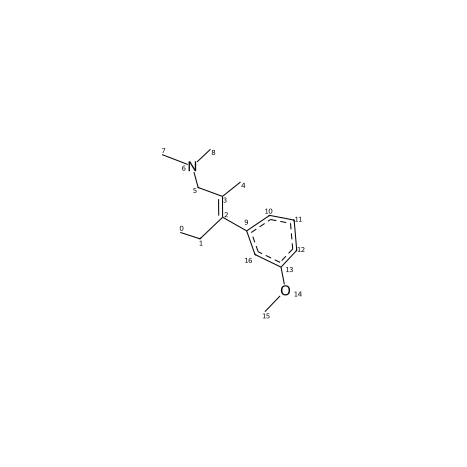 CC/C(=C(/C)CN(C)C)c1cccc(OC)c1